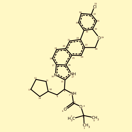 CC(C)(C)OC(=O)NC(CC1CCCC1)c1nc2ccc3cc4c(cc3c2[nH]1)COc1cc(Cl)ccc1-4